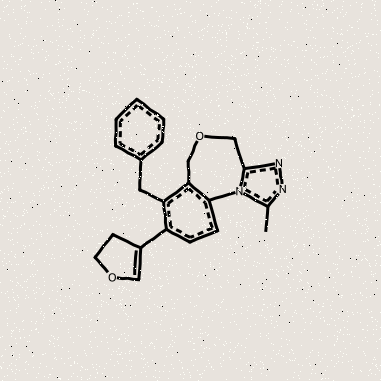 Cc1nnc2n1-c1ccc(C3=COCC3)c(Cc3ccccc3)c1COC2